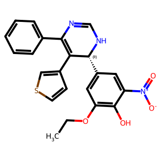 CCOc1cc([C@H]2NC=NC(c3ccccc3)=C2c2ccsc2)cc([N+](=O)[O-])c1O